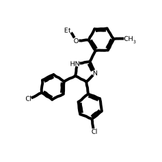 CCOc1ccc(C)cc1C1=NC(c2ccc(Cl)cc2)C(c2ccc(Cl)cc2)N1